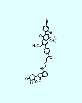 CCc1cc2c(cc1N1CCN(C(=O)CCCCNc3cccc4c3CN(C3CCC(=O)NC3=O)C4=O)CC1)C(C)(C)c1[nH]c3cc(C#N)ccc3c1C2=O